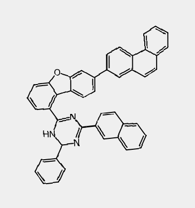 c1ccc(C2N=C(c3ccc4ccccc4c3)N=C(c3cccc4oc5cc(-c6ccc7c(ccc8ccccc87)c6)ccc5c34)N2)cc1